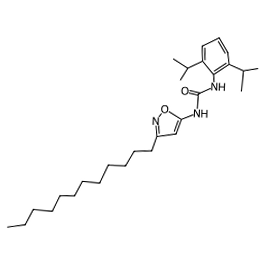 CCCCCCCCCCCCc1cc(NC(=O)Nc2c(C(C)C)cccc2C(C)C)on1